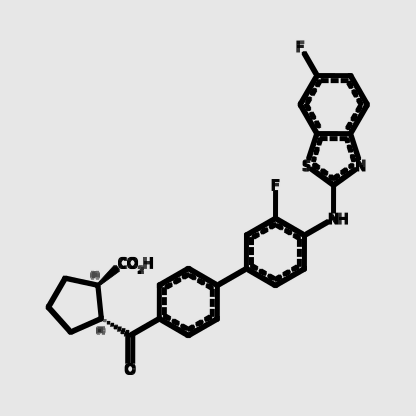 O=C(O)[C@@H]1CCC[C@H]1C(=O)c1ccc(-c2ccc(Nc3nc4ccc(F)cc4s3)c(F)c2)cc1